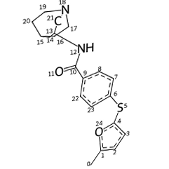 Cc1ccc(Sc2ccc(C(=O)NC3CC4CCN(CC4)C3)cc2)o1